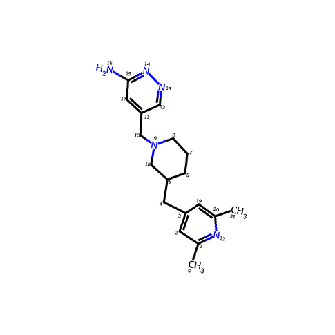 Cc1cc(CC2CCCN(Cc3cnnc(N)c3)C2)cc(C)n1